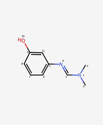 CN(C)C=Nc1cccc(O)c1